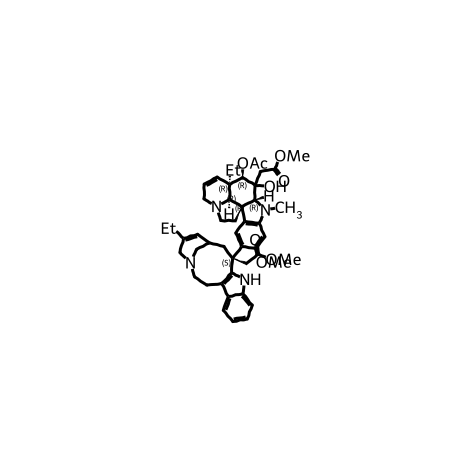 CCC1=CC2CN(CCc3c([nH]c4ccccc34)[C@@](CC(=O)OC)(c3cc4c(cc3OC)N(C)[C@H]3C(O)(CC(=O)OC)[C@H](OC(C)=O)[C@]5(CC)C=CCN6CC[C@]43[C@@H]65)C2)C1